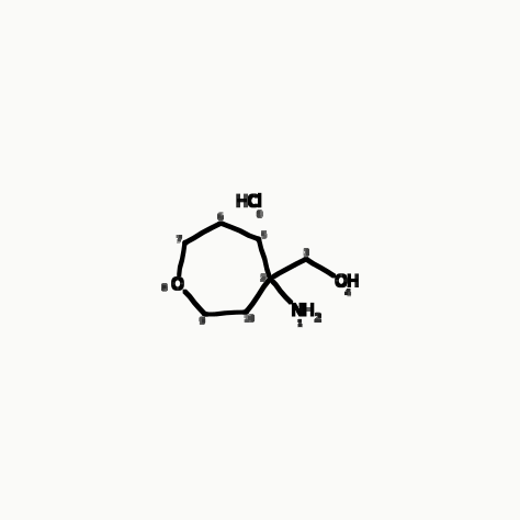 Cl.NC1(CO)CCCOCC1